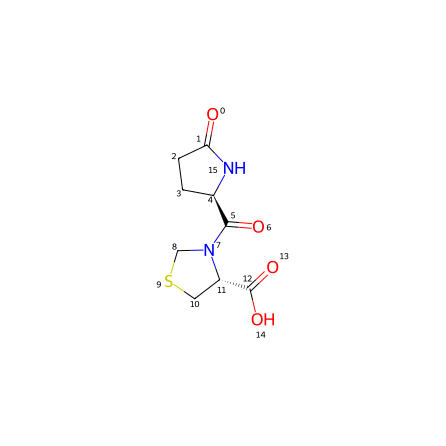 O=C1CC[C@H](C(=O)N2CSC[C@H]2C(=O)O)N1